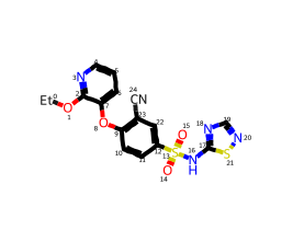 CCOc1ncccc1Oc1ccc(S(=O)(=O)Nc2ncns2)cc1C#N